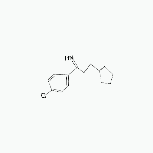 N=C(CCC1CCCC1)c1ccc(Cl)cc1